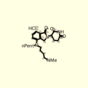 CCCCCN(CCCCNC)c1cccc2c1CN(C1CCC(=O)NC1=O)C2=O.Cl